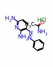 CC(N)=O.Cl.Nc1ccc(/N=N/c2ccccc2)c(N)n1